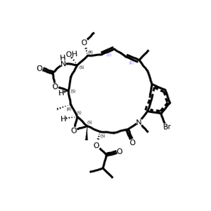 CO[C@@H]1/C=C/C=C(\C)Cc2ccc(Br)c(c2)N(C)C(=O)C[C@H](OC(=O)C(C)C)[C@]2(C)O[C@H]2[C@H](C)[C@@H]2C[C@@]1(O)NC(=O)O2